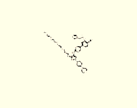 COCCOCCOCCOCCCOc1nn(C2CCC(N3C[C@@H](C)O[C@@H](C)C3)CC2)cc1Nc1ncc(-c2ccc(C#N)c(O[C@@H](C)Cn3cncn3)c2)cn1